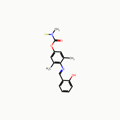 Cc1cc(OC(=O)N(C)[S])cc(C)c1N=Cc1ccccc1O